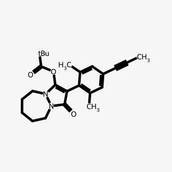 CC#Cc1cc(C)c(-c2c(OC(=O)C(C)(C)C)n3n(c2=O)CCCCC3)c(C)c1